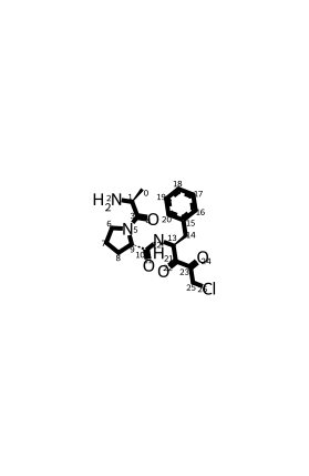 C[C@H](N)C(=O)N1CCC[C@H]1C(=O)N[C@@H](Cc1ccccc1)C(=O)C(=O)CCl